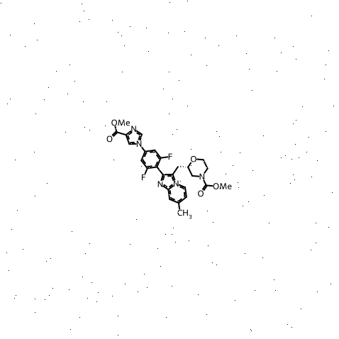 COC(=O)c1cn(-c2cc(F)c(-c3nc4cc(C)ccn4c3C[C@H]3CN(C(=O)OC)CCO3)c(F)c2)cn1